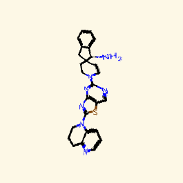 N[C@@H]1c2ccccc2CC12CCN(c1ncc3sc(N4CCCc5ncccc54)nc3n1)CC2